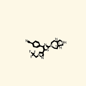 N#Cc1ccc(-c2nc(N3CC[C@@H]4CNC[C@@H]4CC3)sc2-c2cnn(CC(F)(F)F)c2)cc1